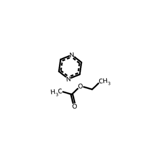 CCOC(C)=O.c1cnccn1